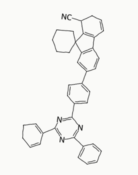 N#CC1CC=CC2=C1C1(CCCCC1)c1cc(-c3ccc(-c4nc(C5=CCCC=C5)nc(-c5ccccc5)n4)cc3)ccc12